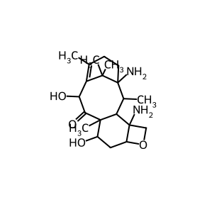 CC1=C2C(O)C(=O)C3(C)C(O)CC4OCC4(N)C3C(C)C(N)(CC1)C2(C)C